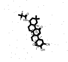 CC1(C)C[C@@H]2C(CC[C@]3(C)[C@@H]2C(=O)C=C2[C@@]4(C)CC(C#N)=C(O)[C@@]5(C)O[C@@]45CC[C@]23C)[C@H](NC(=O)C(C)(F)F)C1